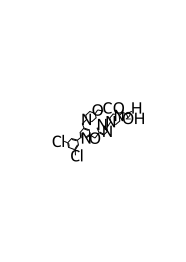 CC(O)CN1CCN(c2ncc(Oc3cc(CN4CCC(OCC(=O)O)CC4)cc(-c4cc(Cl)cc(Cl)c4)n3)cn2)CC1